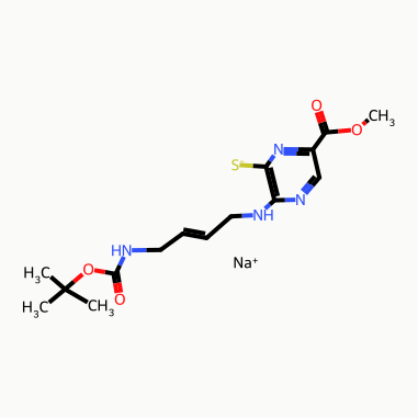 COC(=O)c1cnc(NC/C=C/CNC(=O)OC(C)(C)C)c([S-])n1.[Na+]